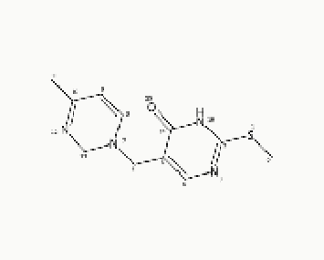 CSc1ncc(CN2C=CC(C)=NC2)c(=O)[nH]1